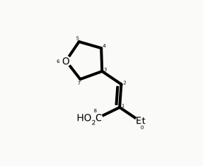 CCC(=CC1CCOC1)C(=O)O